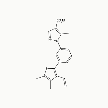 C=Cc1c(-c2cccc(-n3ncc(C(=O)OCC)c3C)c2)sc(C)c1C